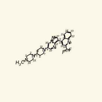 CN1CCN(C2CCN(c3cnc4c(-c5cc(C(F)F)nc6ccccc56)cnn4c3)CC2)CC1